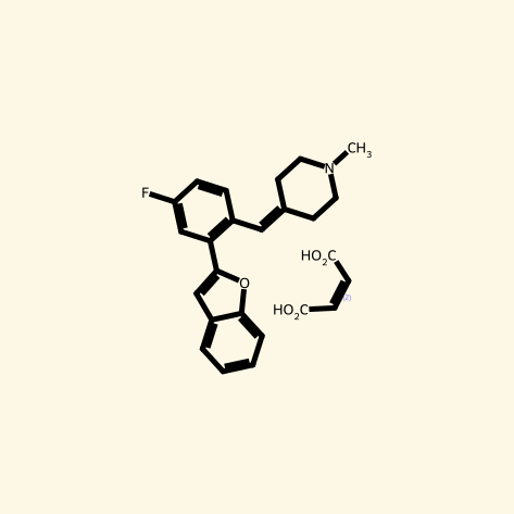 CN1CCC(=Cc2ccc(F)cc2-c2cc3ccccc3o2)CC1.O=C(O)/C=C\C(=O)O